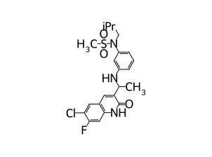 CC(C)CN(c1cccc(NC(C)c2cc3cc(Cl)c(F)cc3[nH]c2=O)c1)S(C)(=O)=O